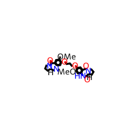 COc1cc2c(cc1OCCCOc1cc3c(cc1OC)NC(=O)[C@H]1CCCN1C3=O)N=C[C@@H]1CCCN1C2=O